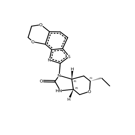 CC[C@H]1C[C@@H]2[C@H](CO1)NC(=O)N2c1nc2c3c(ccc2s1)OCCO3